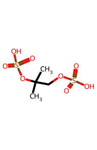 CC(C)(COS(=O)(=O)O)OS(=O)(=O)O